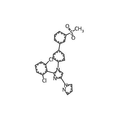 CS(=O)(=O)c1cccc(-c2ccc(-n3cc(-n4cccn4)nc3-c3c(Cl)cccc3Cl)cc2)c1